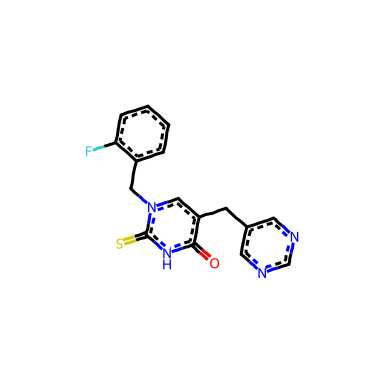 O=c1[nH]c(=S)n(Cc2ccccc2F)cc1Cc1cncnc1